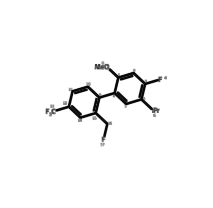 COc1cc(F)c(C(C)C)cc1-c1ccc(C(F)(F)F)cc1CF